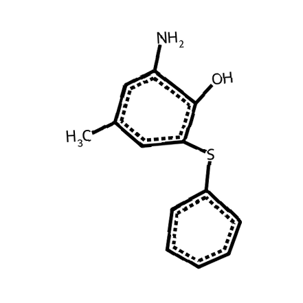 Cc1cc(N)c(O)c(Sc2ccccc2)c1